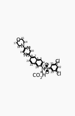 O=C(O)CN(c1ccc2cc(-c3cnc(N4CCOCC4)cn3)ccc2c1)S(=O)(=O)c1cc(Cl)cc(Cl)c1